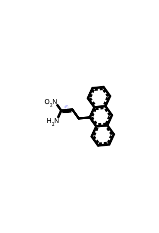 N/C(=C\Cc1c2ccccc2cc2ccccc12)[N+](=O)[O-]